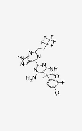 COc1ccc(C2(C)C(=O)Nc3nc(-c4nc(CCC(F)(F)C(F)(F)F)nc5c4cnn5C)nc(N)c32)cc1F